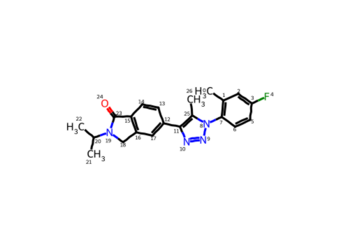 Cc1cc(F)ccc1-n1nnc(-c2ccc3c(c2)CN(C(C)C)C3=O)c1C